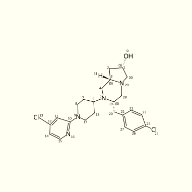 O[C@H]1C[C@H]2CN(C3CCN(c4cc(Cl)ccn4)CC3)[C@@H](Cc3ccc(Cl)cc3)CN2C1